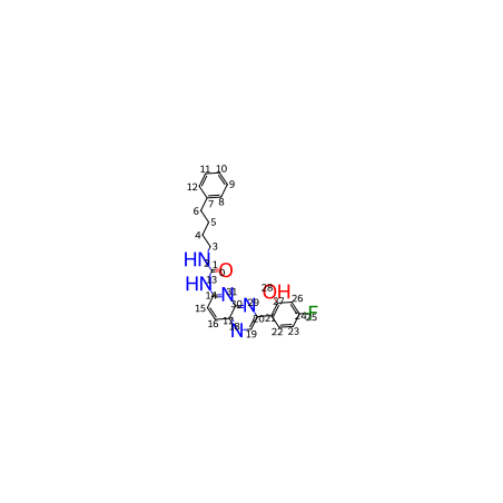 O=C(NCCCCc1ccccc1)Nc1ccc2ncc(-c3ccc(F)cc3O)nc2n1